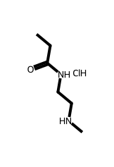 CCC(=O)NCCNC.Cl